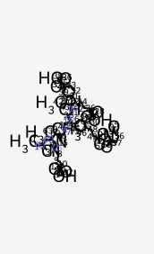 C\C=C(Cl)/C=C1\C(=N\CCCS(=O)(=O)O)N=C(/C=C/C(=C/C=C2/N(CCCS(=O)(=O)O)c3ccc(S(=O)(=O)O)cc3C2(C)C)c2ccc(CCC(=O)ON3C(=O)CCC3=O)cc2)C1(C)C